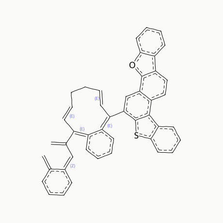 C=C(/C=c1/ccccc1=C)C1=c2\cccc\c2=C(c2cc3c(ccc4c5ccccc5oc43)c3c2sc2ccccc23)\C=C\CC\C=C\1